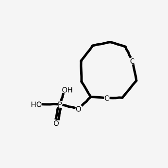 O=P(O)(O)OC1CCCCCCCCC1